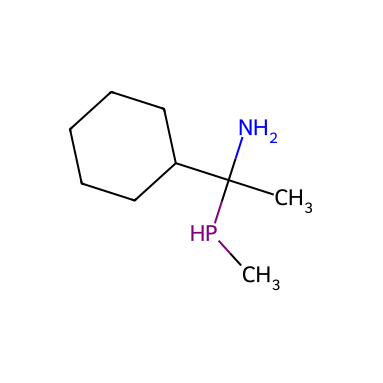 CPC(C)(N)C1CCCCC1